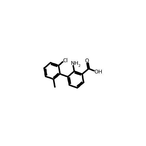 Cc1cccc(Cl)c1-c1cccc(C(=O)O)c1N